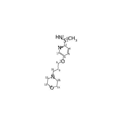 CS(=N)c1ccc(OCCCN2CCOCC2)cn1